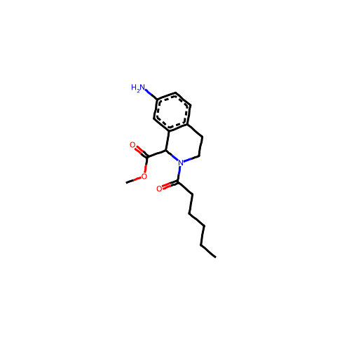 CCCCCC(=O)N1CCc2ccc(N)cc2C1C(=O)OC